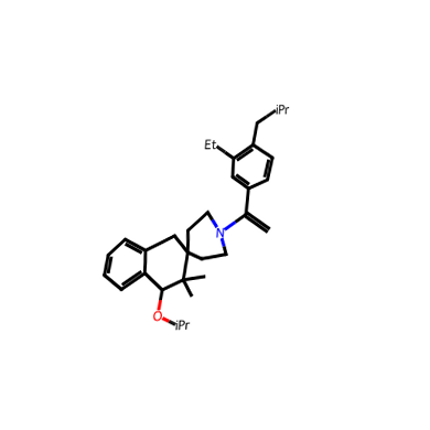 C=C(c1ccc(CC(C)C)c(CC)c1)N1CCC2(CC1)Cc1ccccc1C(OC(C)C)C2(C)C